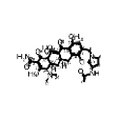 CC(=O)N[C@@H]1CCN(Cc2cc(O)c3c(c2Cl)C[C@H]2C[C@H]4[C@H](N(C)C)C(O)=C(C(N)=O)C(=O)[C@@]4(O)C(O)=C2C3=O)C1